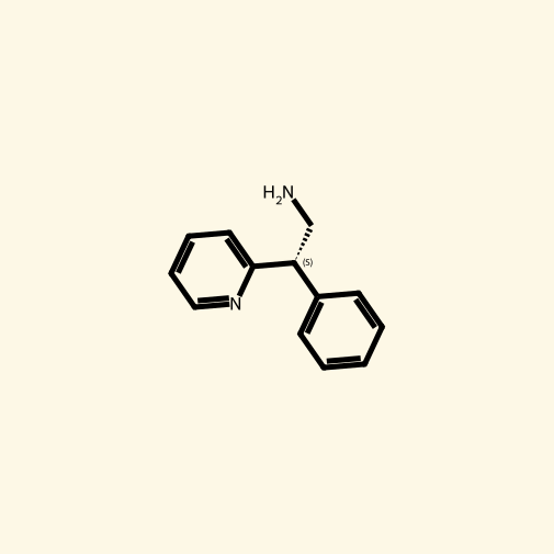 NC[C@H](c1ccccc1)c1ccccn1